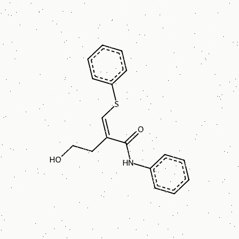 O=C(Nc1ccccc1)/C(=C\Sc1ccccc1)CCO